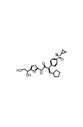 O=C(Nc1nc(C(O)CO)cs1)/C(=C/C1CCCC1)c1ccc(S(=O)(=O)C2CC2)cc1